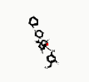 O=C([C@@H]1CCCN(Cc2ccccc2)C1)C12C[C@H]3CC1[C@H](C[C@@H](Nc1ccc(CO)c(Cl)c1)C3)C2